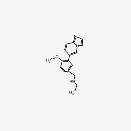 CCNCc1ccc(OC)c(-c2ccc3nccn3c2)c1